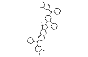 Cc1ccc(N(c2ccccc2)c2ccc3cc4c(cc3c2)C(C)(C)c2c-4c3ccccc3c3cc(N(c4ccccc4)c4ccc(C)c(C)c4)ccc23)cc1C